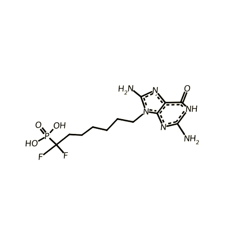 Nc1nc2c(nc(N)n2CCCCCCC(F)(F)P(=O)(O)O)c(=O)[nH]1